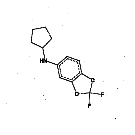 FC1(F)Oc2ccc(NC3CCCC3)cc2O1